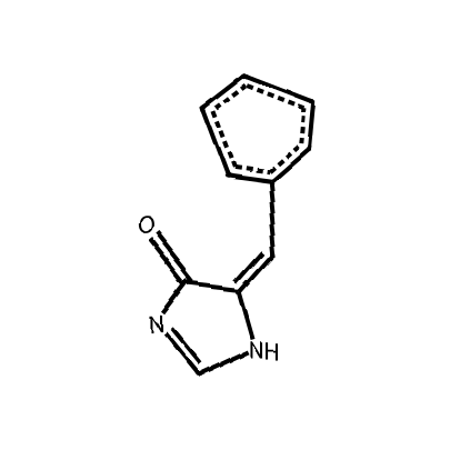 O=C1N=CNC1=Cc1ccccc1